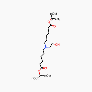 CCCCCCCCC(CCCCCCCC)OC(=O)CCCCCN(CCO)CCCCCC(=O)O[C@H](C)CCCCCCCC